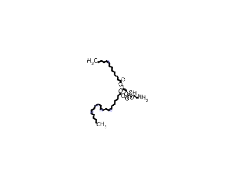 CCCC/C=C\CCCCCCCC(=O)OC[C@H](COP(=O)(O)OCCN)OC(=O)CCCCC/C=C\C/C=C\C/C=C\C/C=C\CCCCC